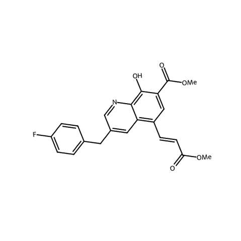 COC(=O)C=Cc1cc(C(=O)OC)c(O)c2ncc(Cc3ccc(F)cc3)cc12